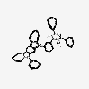 C1=CC2c3cc4c5ccccc5n(-c5cccc(C6NC(c7ccccc7)=NC(c7ccccc7)N6)c5)c4cc3N(c3ccccc3)C2C=C1